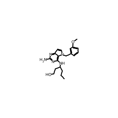 CCCC(CCO)Nc1nc(N)nc2ccn(Cc3cccc(OC)c3)c12